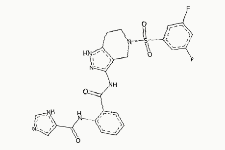 O=C(Nc1ccccc1C(=O)Nc1n[nH]c2c1CN(S(=O)(=O)c1cc(F)cc(F)c1)CC2)c1cnc[nH]1